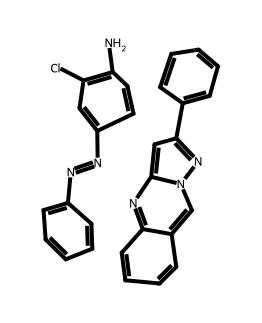 Nc1ccc(N=Nc2ccccc2)cc1Cl.c1ccc(-c2cc3nc4ccccc4cn3n2)cc1